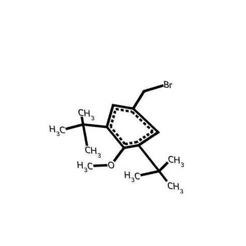 COc1c(C(C)(C)C)cc(CBr)cc1C(C)(C)C